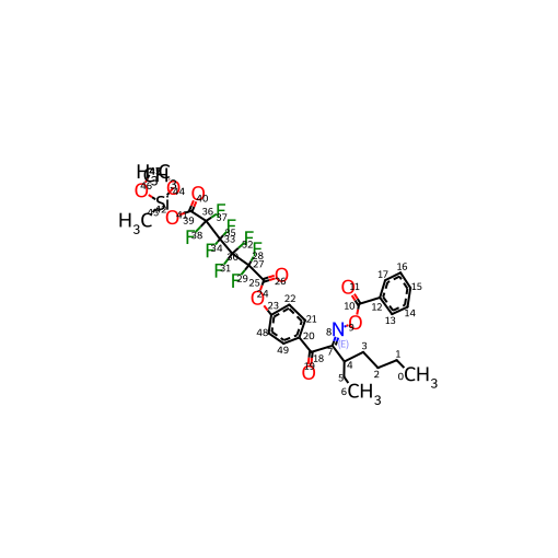 CCCCC(CC)/C(=N\OC(=O)c1ccccc1)C(=O)c1ccc(OC(=O)C(F)(F)C(F)(F)C(F)(F)C(F)(F)C(=O)O[Si](C)(OC)OC)cc1